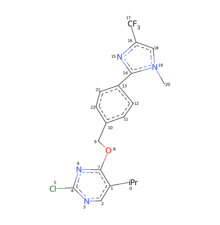 CC(C)c1cnc(Cl)nc1OCc1ccc(-c2nc(C(F)(F)F)cn2C)cc1